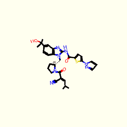 CC(C)C=C(C#N)C(=O)N1CCC[C@@H]1Cn1c(NC(=O)c2ccc(-n3cccn3)s2)nc2cc(C(C)(C)O)ccc21